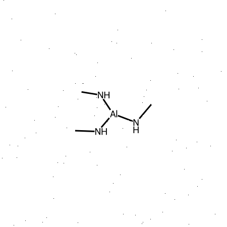 C[NH][Al]([NH]C)[NH]C